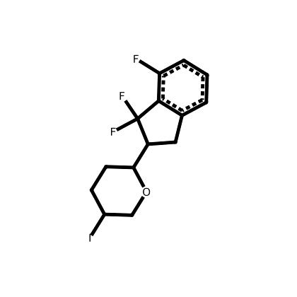 Fc1cccc2c1C(F)(F)C(C1CCC(I)CO1)C2